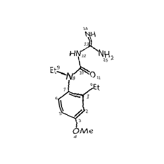 CCc1cc(OC)ccc1N(CC)C(=O)NC(=N)N